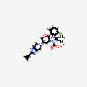 CC(C)(C)N(C(=O)O)[C@H]1C[C@@H](N2Cc3nc(C4CC4)[nH]c3C2)CO[C@@H]1c1cc(F)ccc1F